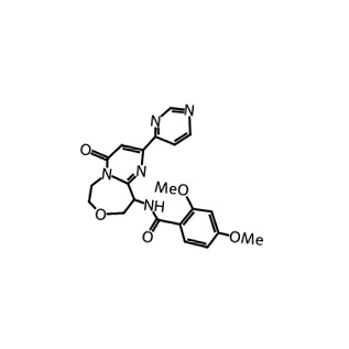 COc1ccc(C(=O)NC2COCCn3c2nc(-c2ccncn2)cc3=O)c(OC)c1